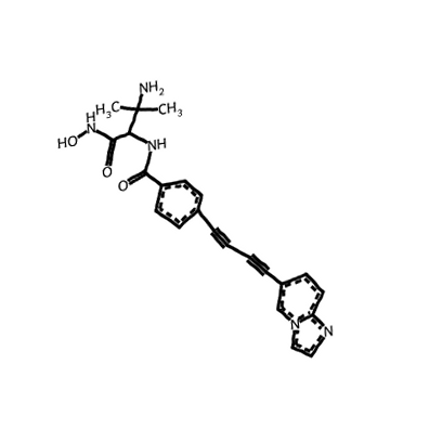 CC(C)(N)C(NC(=O)c1ccc(C#CC#Cc2ccc3nccn3c2)cc1)C(=O)NO